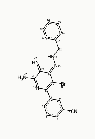 N#Cc1cccc(C2=C(Br)/C(=N/NCc3ccccn3)C(=N)C(N)=N2)c1